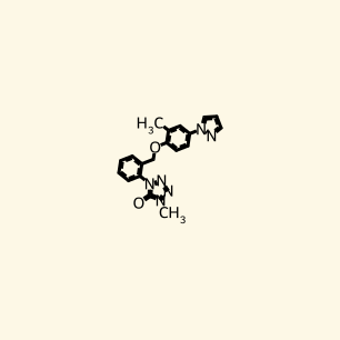 Cc1cc(-n2cccn2)ccc1OCc1ccccc1-n1nnn(C)c1=O